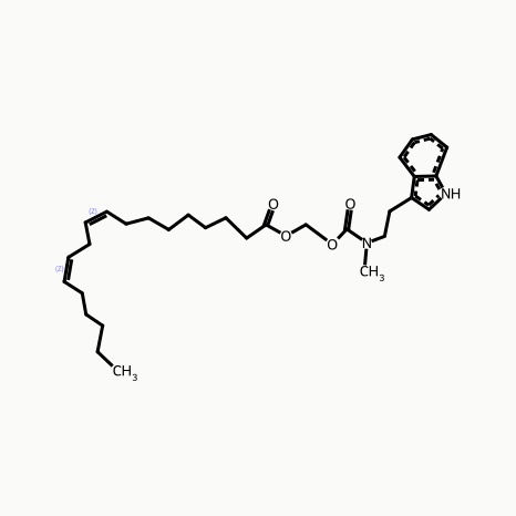 CCCCC/C=C\C/C=C\CCCCCCCC(=O)OCOC(=O)N(C)CCc1c[nH]c2ccccc12